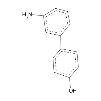 Nc1c[c]cc(-c2ccc(O)cc2)c1